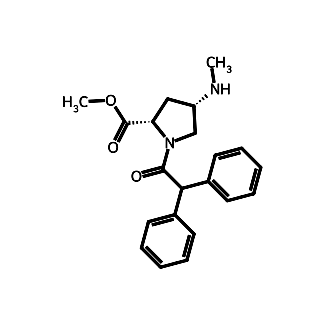 CN[C@H]1C[C@@H](C(=O)OC)N(C(=O)C(c2ccccc2)c2ccccc2)C1